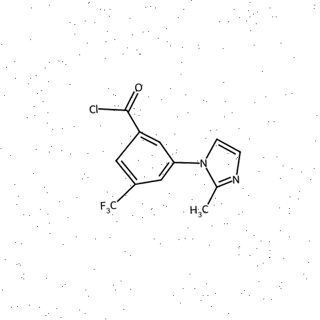 Cc1nccn1-c1cc(C(=O)Cl)cc(C(F)(F)F)c1